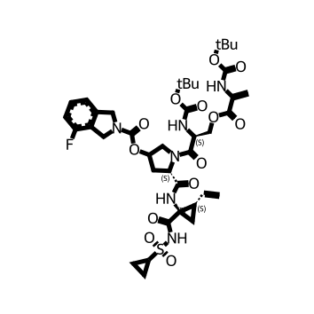 C=C[C@@H]1C[C@]1(NC(=O)[C@@H]1CC(OC(=O)N2Cc3cccc(F)c3C2)CN1C(=O)[C@H](COC(=O)C(=C)NC(=O)OC(C)(C)C)NC(=O)OC(C)(C)C)C(=O)NS(=O)(=O)C1CC1